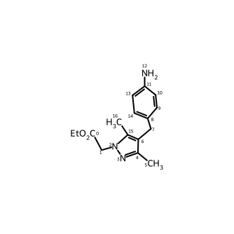 CCOC(=O)Cn1nc(C)c(Cc2ccc(N)cc2)c1C